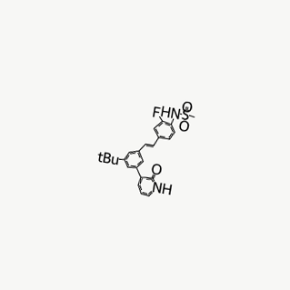 CC(C)(C)c1cc(C=Cc2ccc(NS(C)(=O)=O)c(F)c2)cc(-c2ccc[nH]c2=O)c1